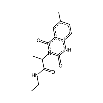 CCNC(=O)C(C)n1c(=O)[nH]c2ccc(C)cc2c1=O